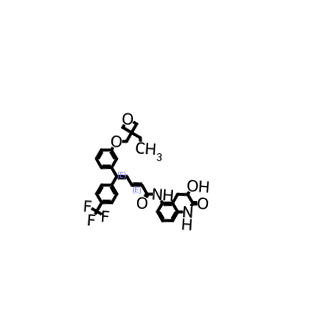 CCC1(COc2cccc(/C(=C/C=C/C(=O)Nc3cccc4c3CC(O)C(=O)N4)c3ccc(C(F)(F)F)cc3)c2)COC1